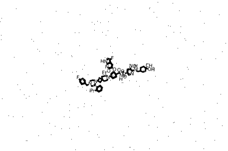 CCOc1nc2[nH]cc(F)c2cc1Oc1cc(N2CCC3(CC2)CC(N2CCN(Cc4ccc(F)cc4)C[C@H]2c2ccccc2C(C)C)C3)ccc1C(=O)NS(=O)(=O)c1cnc(NCC2CCC(C)(O)CC2)c([N+](=O)[O-])c1